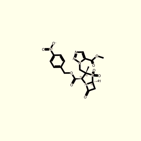 COC(=O)c1cnnn1C[C@@]1(C)[C@H](C(=O)OCc2ccc([N+](=O)[O-])cc2)N2C(=O)C[C@@H]2S1(=O)=O